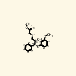 COC(=O)CSC[C@H](O)[C@H](Sc1cccc(OC)c1)c1ccccc1